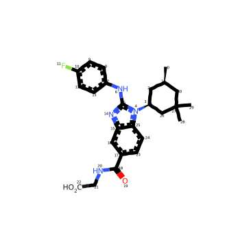 C[C@@H]1C[C@H](n2c(Nc3ccc(F)cc3)nc3cc(C(=O)NCC(=O)O)ccc32)CC(C)(C)C1